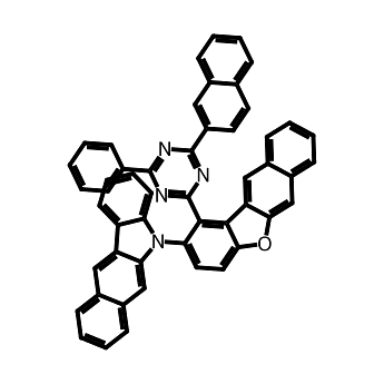 c1ccc(-c2nc(-c3ccc4ccccc4c3)nc(-c3c(-n4c5ccccc5c5cc6ccccc6cc54)ccc4oc5cc6ccccc6cc5c34)n2)cc1